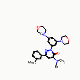 CCN(C)c1cc(-c2cccc(OC)c2)nn(-c2cc(N3CCOCC3)cc(N3CCOCC3)c2)c1=O